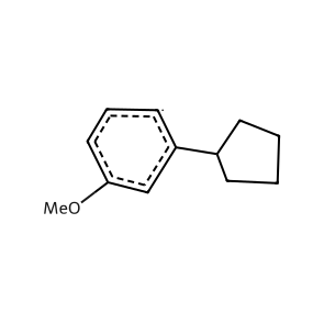 COc1cc[c]c(C2CCCC2)c1